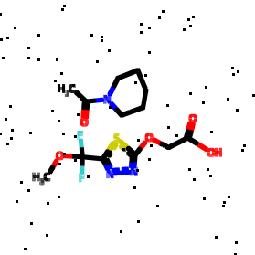 CC(=O)N1CCCCC1.COC(F)(F)c1nnc(OCC(=O)O)s1